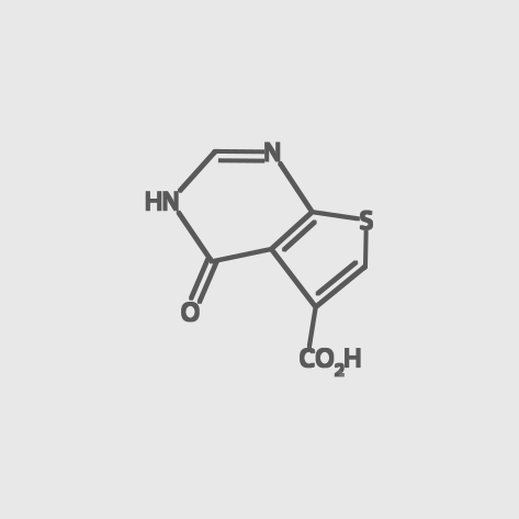 O=C(O)c1csc2nc[nH]c(=O)c12